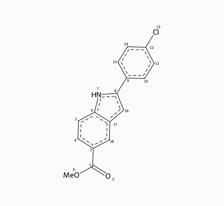 COC(=O)c1ccc2[nH]c(-c3ccc(Cl)cc3)cc2c1